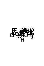 C[C@H](Nc1nc2cc(C(F)(F)F)c(Cl)cc2o1)c1ncnn1-c1ccc(C(=O)N2CCCC2)cn1